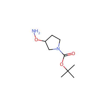 CC(C)(C)OC(=O)N1CCC(ON)C1